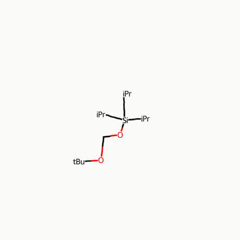 CC(C)[Si](OCOC(C)(C)C)(C(C)C)C(C)C